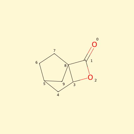 O=C1OC2CC3CCC12C3